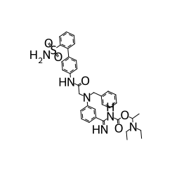 CCN(CC)C(C)OC(=O)NC(=N)c1cccc(N(CC(=O)Nc2ccc(-c3ccccc3S(N)(=O)=O)cc2)Cc2ccccc2)c1